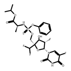 CC(C)OC(=O)[C@H](C)NP(=S)(OC[C@@]1(C(F)F)O[C@@H](n2cc(F)c(=O)[nH]c2=O)[C@@H](F)[C@@H]1O)Oc1ccccc1